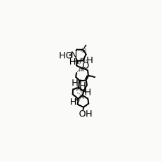 CC1=C2C[C@H]3[C@@H](CC[C@@H]4CC(O)CC[C@@]43C)[C@@H]2CC[C@]2(C1)C[C@H]1[C@@H](C[C@H](C)CN1O)O2